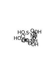 Cc1c(O)cc(O)c2c1C(=O)OC[C@H](NC(=O)O)C(=O)N[C@H](C(=O)NO)CSC2